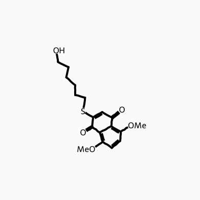 COc1ccc(OC)c2c1C(=O)C=C(SCCCCCCO)C2=O